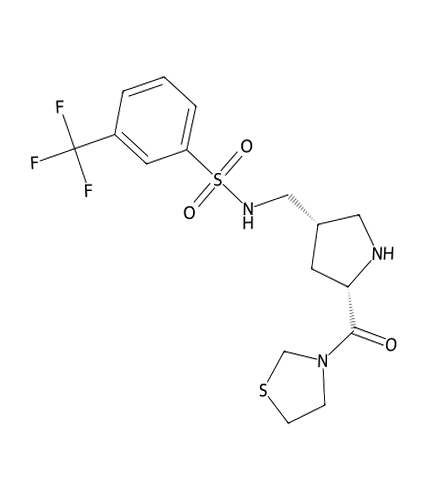 O=C([C@@H]1C[C@H](CNS(=O)(=O)c2cccc(C(F)(F)F)c2)CN1)N1CCSC1